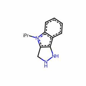 CC(C)n1c2c(c3ccccc31)NNC2